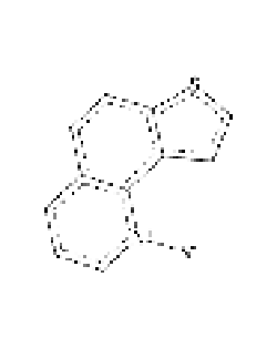 [S-][n+]1cccc2ccc3sccc3c21